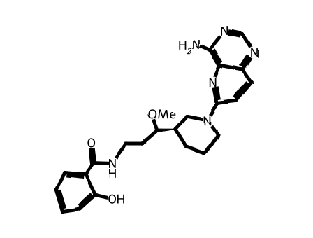 COC(CCNC(=O)c1ccccc1O)[C@@H]1CCCN(c2ccc3ncnc(N)c3n2)C1